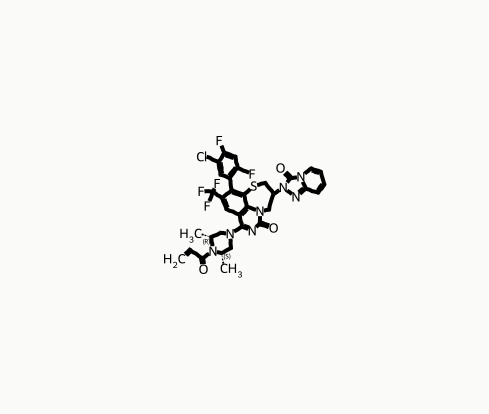 C=CC(=O)N1[C@H](C)CN(c2nc(=O)n3c4c(c(-c5cc(Cl)c(F)cc5F)c(C(F)(F)F)cc24)SCC(n2nc4ccccn4c2=O)C3)C[C@@H]1C